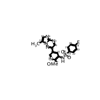 COc1ncc(-c2cnc3ncc(C)n3n2)cc1NS(=O)(=O)c1ccc(F)cc1